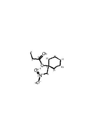 CCC(=O)OC1(C[N+](=O)[O-])CCCCC1